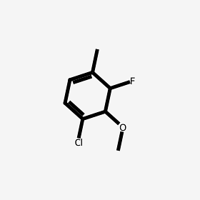 COC1C(Cl)=CC=C(C)C1F